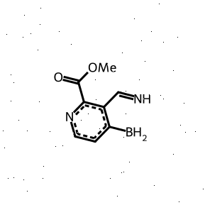 Bc1ccnc(C(=O)OC)c1C=N